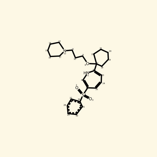 O=S(=O)(C1=CNC(C2(OCCCN3CCCCC3)CCCCC2)=CC=C1)c1ccccc1